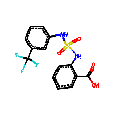 O=C(O)c1ccccc1NS(=O)(=O)Nc1cccc(C(F)(F)F)c1